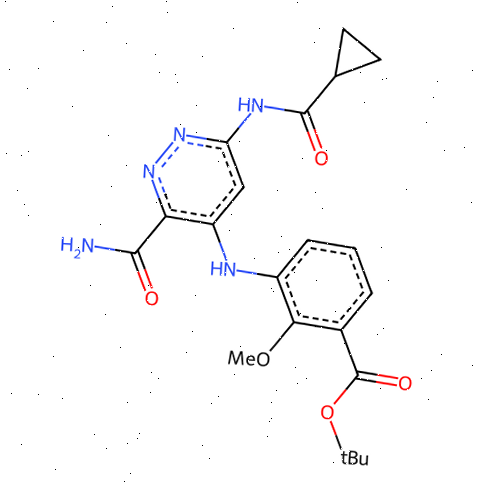 COc1c(Nc2cc(NC(=O)C3CC3)nnc2C(N)=O)cccc1C(=O)OC(C)(C)C